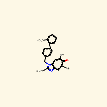 CCCCCc1nc2cc(CCC)c(=O)c(CCC)cc2n1Cc1ccc(-c2ccccc2C(=O)O)cc1